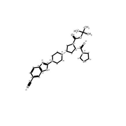 CC(C)(C)OC(=O)N1C[C@@H](N2CCN(c3nc4ccc(C#N)cc4s3)CC2)C[C@H]1C(=O)N1CCSC1